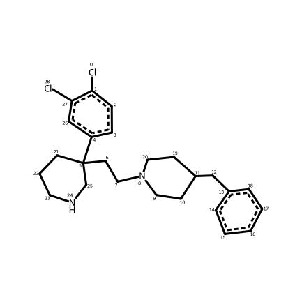 Clc1ccc(C2(CCN3CCC(Cc4ccccc4)CC3)CCCNC2)cc1Cl